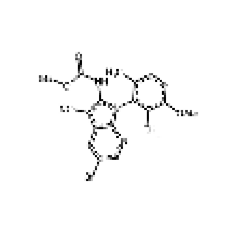 COc1ccc(C)c(-n2c(NC(=O)OC(C)(C)C)c(C#N)c3cc(Br)cnc32)c1C